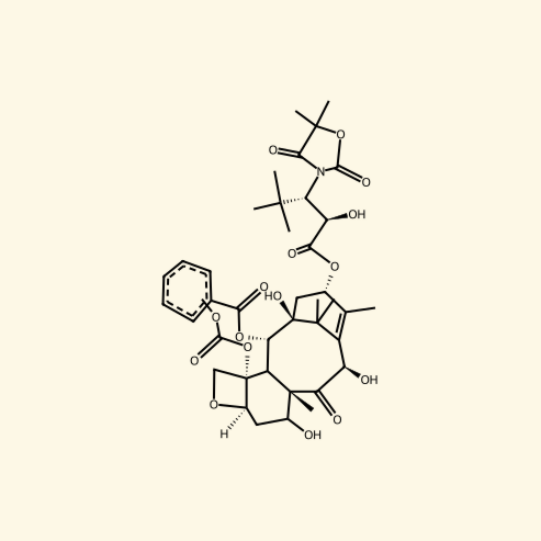 COC(=O)O[C@@]12CO[C@@H]1CC(O)[C@@]1(C)C(=O)[C@H](O)C3=C(C)[C@@H](OC(=O)[C@H](O)[C@@H](N4C(=O)OC(C)(C)C4=O)C(C)(C)C)C[C@@](O)([C@@H](OC(=O)c4ccccc4)C12)C3(C)C